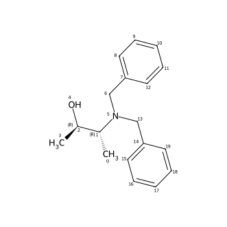 C[C@H]([C@@H](C)O)N(Cc1ccccc1)Cc1ccccc1